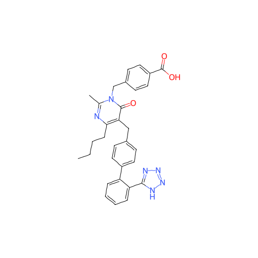 CCCCc1nc(C)n(Cc2ccc(C(=O)O)cc2)c(=O)c1Cc1ccc(-c2ccccc2-c2nnn[nH]2)cc1